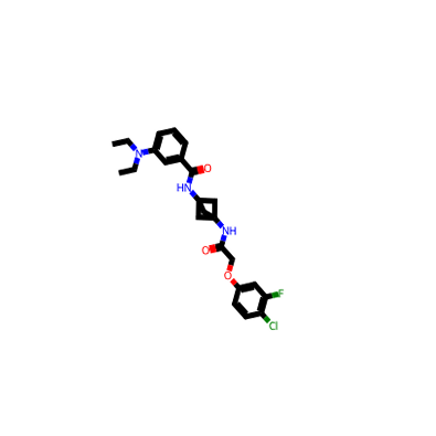 CCN(CC)c1cccc(C(=O)NC23CC(NC(=O)COc4ccc(Cl)c(F)c4)(C2)C3)c1